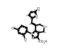 O=C(O)c1nn(-c2ccc(Cl)cc2Cl)c2c1COCC2=Cc1ccc(Cl)o1